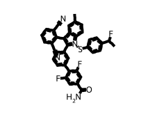 Cc1ccc2c(c1)c(-c1c(C#N)cccc1C#N)c(-c1cccc(-c3c(F)cc(C(N)=O)cc3F)c1)n2Sc1ccc(C(C)F)cc1